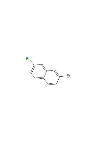 CCc1ccc2ccc(Br)cc2c1